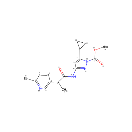 CCc1ccc(C(C)C(=O)Nc2cc(C3CC3)n(C(=O)OC(C)(C)C)n2)cn1